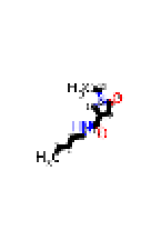 CCCCCNC(=O)C1CC(=O)N(CC)C1